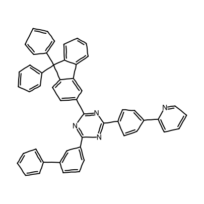 c1ccc(-c2cccc(-c3nc(-c4ccc(-c5ccccn5)cc4)nc(-c4ccc5c(c4)-c4ccccc4C5(c4ccccc4)c4ccccc4)n3)c2)cc1